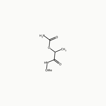 CONC(=O)C(C)OC(N)=O